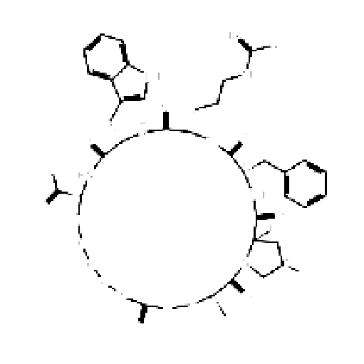 C[C@H]1CCC(=O)NCCCC[C@@H](C(N)=O)NC(=O)[C@H](Cc2c[nH]c3ccccc23)NC(=O)[C@H](CCCNC(=N)N)NC(=O)[C@@H](Cc2ccccc2)NC(=O)[C@@H]2C[C@@H](O)CN2C1=O